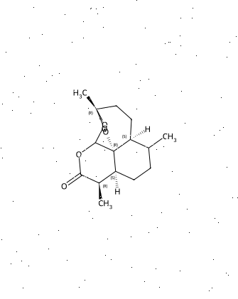 CC1CC[C@H]2[C@@H](C)C(=O)OC3O[C@@]4(C)CC[C@@H]1[C@]32OO4